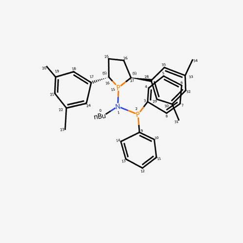 CCCCN(P(c1ccccc1)c1ccccc1)P1[C@H](c2cc(C)cc(C)c2)CC[C@H]1c1cc(C)cc(C)c1